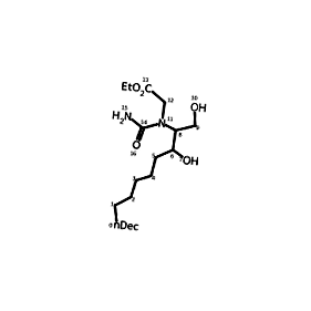 CCCCCCCCCCCCCCCC(O)C(CO)N(CC(=O)OCC)C(N)=O